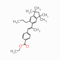 CCCc1cc2c(cc1C(C)=Cc1ccc(C(=O)OCC)cc1)C(C)(C)CC2(C)C